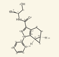 CC(C)(C)[C@@H](CO)NC(=O)c1nn(-c2cnccn2)c2c1CC[C@H]1C[C@@H]21